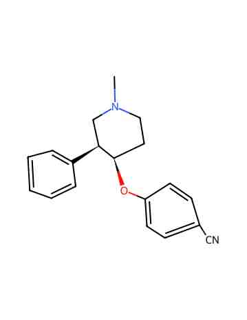 CN1CC[C@@H](Oc2ccc(C#N)cc2)[C@@H](c2ccccc2)C1